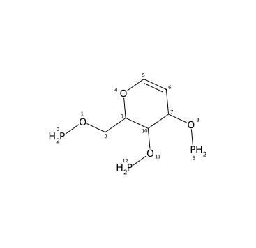 POCC1OC=CC(OP)C1OP